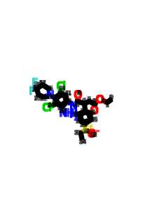 CCOC(=O)CC(C(=O)Nc1cc(Cl)c(N2CCC(F)(F)CC2)c(Cl)c1N)c1ccc([S+]([O-])CC)cc1